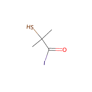 CC(C)(S)C(=O)I